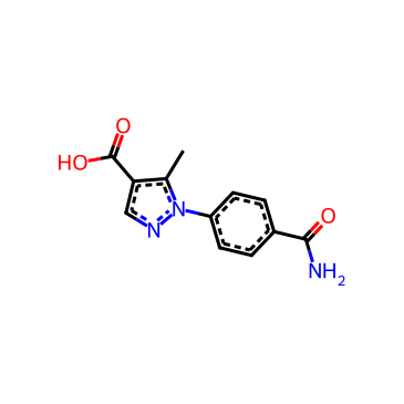 Cc1c(C(=O)O)cnn1-c1ccc(C(N)=O)cc1